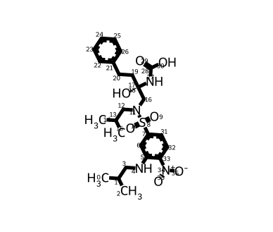 CC(C)CNc1cc(S(=O)(=O)N(CC(C)C)C[C@@](O)(CCc2ccccc2)NC(=O)O)ccc1[N+](=O)[O-]